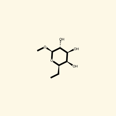 CC[C@H]1O[C@@H](OC)[C@H](O)[C@@H](O)[C@H]1O